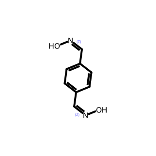 O/N=C\c1ccc(/C=N\O)cc1